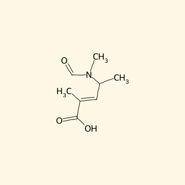 CC(=CC(C)N(C)C=O)C(=O)O